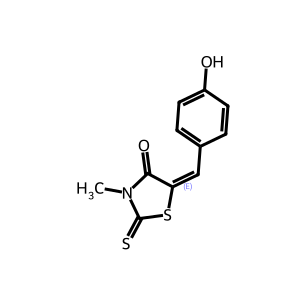 CN1C(=O)/C(=C\c2ccc(O)cc2)SC1=S